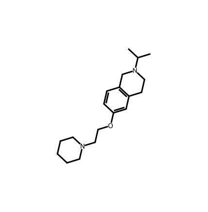 CC(C)N1CCc2cc(OCCN3CCCCC3)ccc2C1